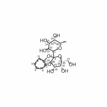 C[C@H]1OC(C2(Oc3cc[c]cc3)O[C@H](CO)[C@H](O)[C@H](O)[C@H]2O)[C@@H](O)[C@@H](O)[C@@H]1O